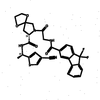 C[C@@H](NC(=O)[C@@H]1CC2(CN1C(=O)CNC(=O)c1ccc3c(c1)-c1ccccc1C3(F)F)OCCO2)c1cc(C#N)cs1